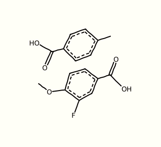 COc1ccc(C(=O)O)cc1F.Cc1ccc(C(=O)O)cc1